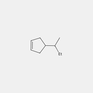 CC[C](C)C1CC=CC1